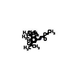 CCOC(=O)/C=C/c1cc(C(C)(C)C)cc(C(C)(C)C)c1OC